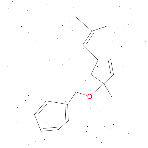 C=CC(C)(CCC=C(C)C)OCc1ccccc1